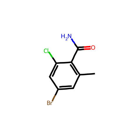 Cc1cc(Br)cc(Cl)c1C(N)=O